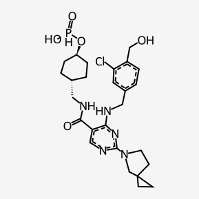 O=C(NC[C@H]1CC[C@H](O[PH](=O)O)CC1)c1cnc(N2CCC3(CC3)C2)nc1NCc1ccc(CO)c(Cl)c1